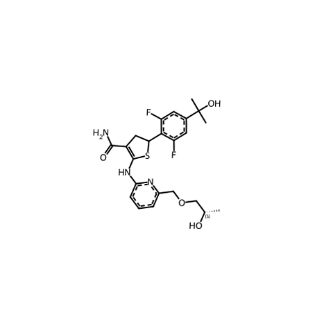 C[C@H](O)COCc1cccc(NC2=C(C(N)=O)CC(c3c(F)cc(C(C)(C)O)cc3F)S2)n1